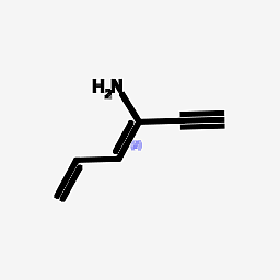 C#C/C(N)=C/C=C